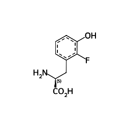 N[C@@H](Cc1cccc(O)c1F)C(=O)O